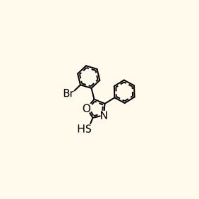 Sc1nc(-c2ccccc2)c(-c2ccccc2Br)o1